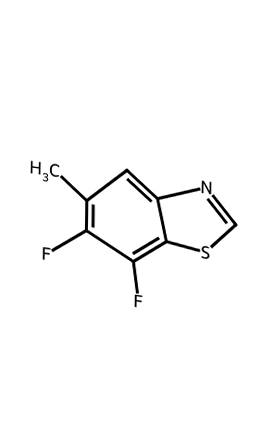 Cc1cc2ncsc2c(F)c1F